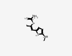 CNc1ccc(/C=C(/C)SC(N)=S)s1